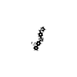 FC(F)(F)c1cc(-c2nc(-c3ccc(CN4CCCC4)cc3)no2)ccc1-c1ccccc1